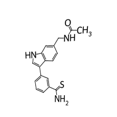 CC(=O)NCc1ccc2c(-c3cccc(C(N)=S)c3)c[nH]c2c1